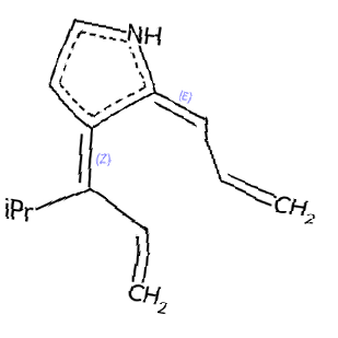 C=C/C=c1/[nH]cc/c1=C(/C=C)C(C)C